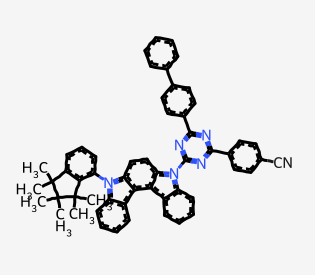 CC1(C)c2cccc(-n3c4ccccc4c4c5c6ccccc6n(-c6nc(-c7ccc(C#N)cc7)nc(-c7ccc(-c8ccccc8)cc7)n6)c5ccc43)c2C(C)(C)C1(C)C